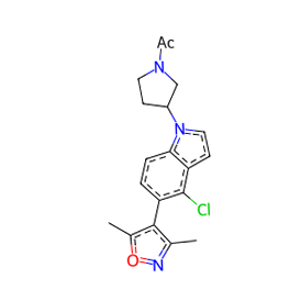 CC(=O)N1CCC(n2ccc3c(Cl)c(-c4c(C)noc4C)ccc32)C1